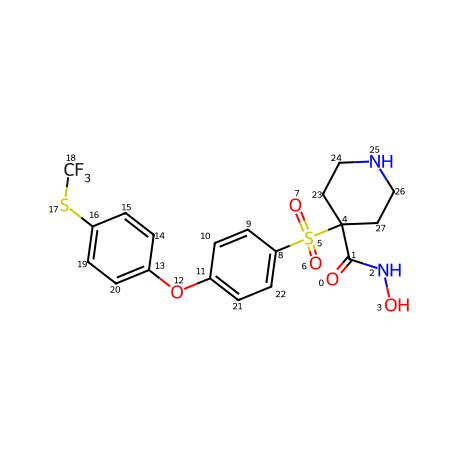 O=C(NO)C1(S(=O)(=O)c2ccc(Oc3ccc(SC(F)(F)F)cc3)cc2)CCNCC1